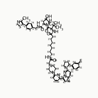 Cc1ncsc1-c1ccc(CNC(=O)[C@@H]2C[C@@H](O)CN2C(=O)[C@@H](NC(=O)CCCCCCCNC(=O)CN2CCN(c3cccc(-c4cnc5ccc(N6CCC[C@@H]6c6cccc(F)c6)nn45)n3)CC2)C(C)(C)C)cc1